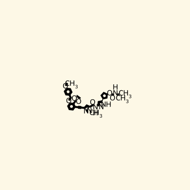 COc1ccc(COc2cccc(C#Cc3cc(C(=O)Nc4cc([C@H]5CC[C@@H](OC(=O)NC(C)C)C5)[nH]n4)n(C)n3)c2C2OCCO2)cc1